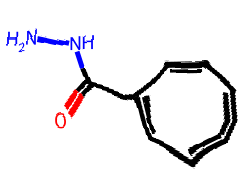 NNC(=O)C1=CC=C=CC=C1